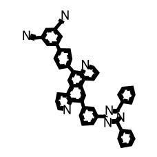 N#Cc1cc(C#N)cc(-c2ccc(-c3cc4c5cccnc5c(-c5cccc(-c6nc(-c7ccccc7)nc(-c7ccccc7)n6)c5)cc4c4cccnc34)cc2)c1